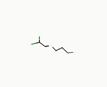 CCCCCC[CH2][AlH][CH2]C(Cl)Cl